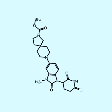 Cn1c(=O)n(C2CCC(=O)NC2=O)c2ccc(N3CCC4(CCN(C(=O)OC(C)(C)C)C4)CC3)cc21